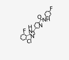 O=C(Nc1ccc(F)cc1)c1ccc(-c2cnc(-c3c(F)cccc3Cl)[nH]2)cn1